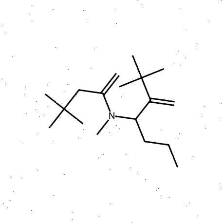 C=C(CC(C)(C)C)N(C)C(CCC)C(=C)C(C)(C)C